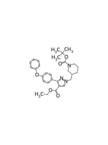 CCOC(=O)c1cn(CC2CCCN(C(=O)OC(C)(C)C)C2)nc1-c1ccc(Oc2ccccc2)cc1